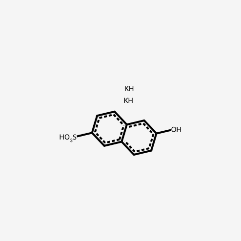 O=S(=O)(O)c1ccc2cc(O)ccc2c1.[KH].[KH]